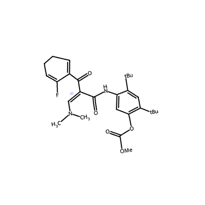 COC(=O)Oc1cc(NC(=O)/C(=C\N(C)C)C(=O)C2=CCCC=C2F)c(C(C)(C)C)cc1C(C)(C)C